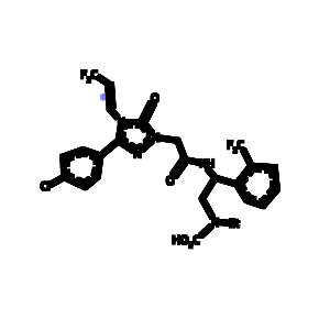 CCN(CC(NC(=O)Cn1nc(-c2ccc(Cl)cc2)n(/C=C/C(F)(F)F)c1=O)c1ccccc1C(F)(F)F)C(=O)O